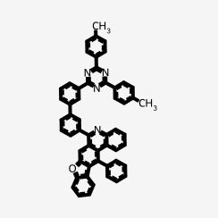 Cc1ccc(-c2nc(-c3ccc(C)cc3)nc(-c3cccc(-c4cccc(-c5nc6ccccc6c6c(-c7ccccc7)c7c(cc56)oc5ccccc57)c4)c3)n2)cc1